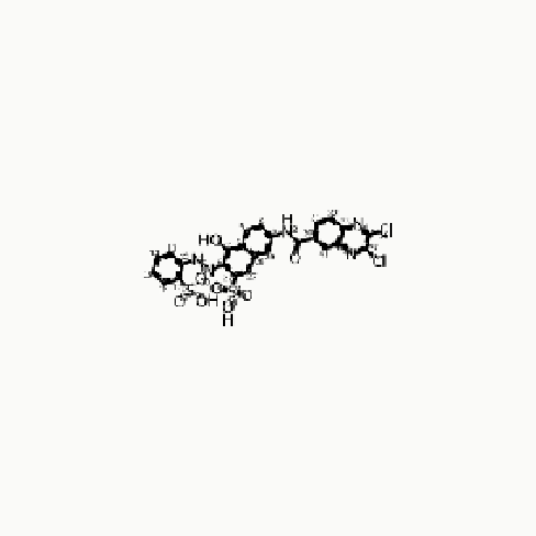 O=C(Nc1ccc2c(O)c(N=Nc3ccccc3S(=O)(=O)O)c(S(=O)(=O)O)cc2c1)c1ccc2nc(Cl)c(Cl)nc2c1